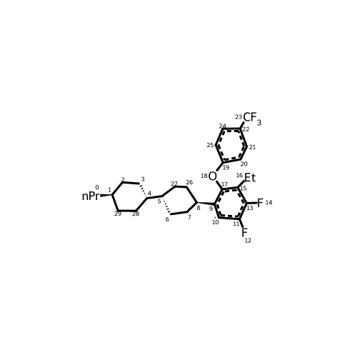 CCC[C@H]1CC[C@H]([C@H]2CC[C@H](c3[c]c(F)c(F)c(CC)c3Oc3ccc(C(F)(F)F)cc3)CC2)CC1